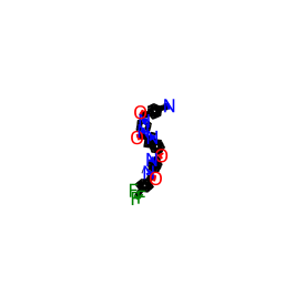 CN(C(=O)c1ccc(C(F)(F)F)cc1)c1ccc(Oc2ccc3c(c2)cc(C(=O)N2CCN(C(=O)c4ccc(C#N)cc4)CC2)n3C)nc1